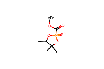 CCCOC(=O)P1(=O)OC(C)C(C)(C)O1